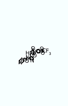 CN1CCN(CC(=O)Nc2cnccc2CN2CC(=O)N(c3ccc(S(=O)(=O)C(F)(F)F)cc3)C2=O)CC1